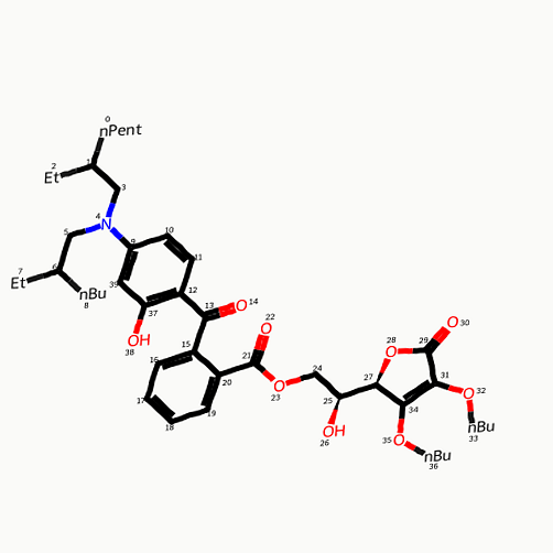 CCCCCC(CC)CN(CC(CC)CCCC)c1ccc(C(=O)c2ccccc2C(=O)OC[C@H](O)[C@H]2OC(=O)C(OCCCC)=C2OCCCC)c(O)c1